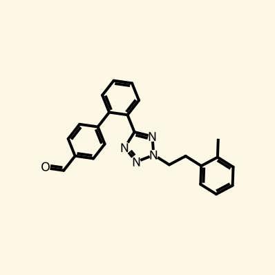 Cc1ccccc1CCn1nnc(-c2ccccc2-c2ccc(C=O)cc2)n1